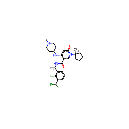 C[C@@H](NC(=O)c1cn(C2(C(F)(F)F)CCCC2)c(=O)cc1NC1CCN(C)CC1)c1cccc(C(F)F)c1F